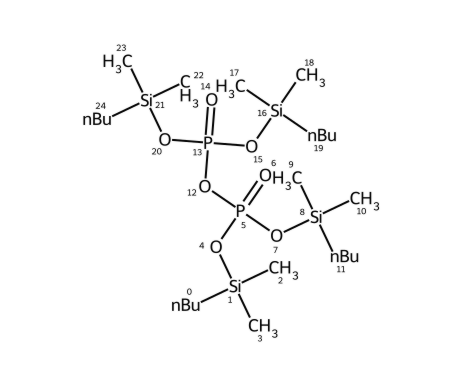 CCCC[Si](C)(C)OP(=O)(O[Si](C)(C)CCCC)OP(=O)(O[Si](C)(C)CCCC)O[Si](C)(C)CCCC